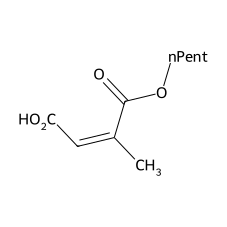 CCCCCOC(=O)/C(C)=C\C(=O)O